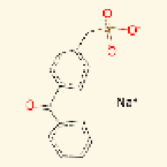 O=C(c1ccccc1)c1ccc(CS(=O)(=O)[O-])cc1.[Na+]